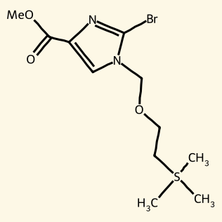 COC(=O)c1cn(COCCS(C)(C)C)c(Br)n1